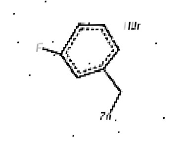 Br.Fc1cccc([CH2][Zn])c1